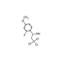 COc1ccc(C(O)CC(Cl)(Cl)Cl)c(F)c1